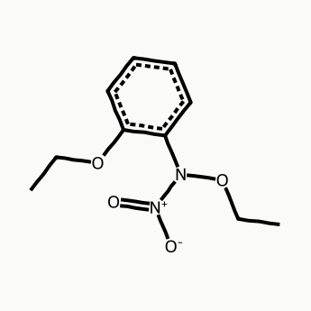 CCOc1ccccc1N(OCC)[N+](=O)[O-]